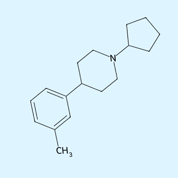 Cc1cccc(C2CCN(C3CCCC3)CC2)c1